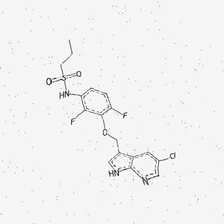 CCCS(=O)(=O)Nc1ccc(F)c(OCc2c[nH]c3ncc(Cl)cc23)c1F